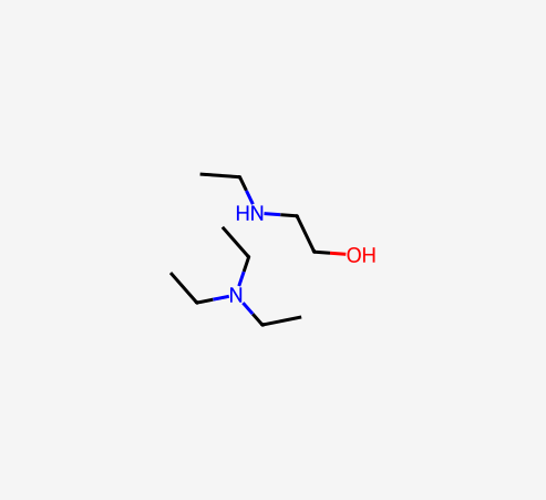 CCN(CC)CC.CCNCCO